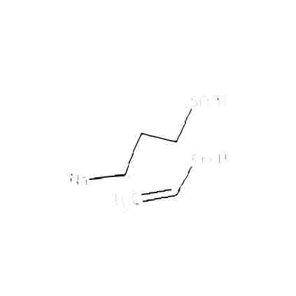 C=CC(=O)O.O=S(=O)(O)CC[CH2][Na]